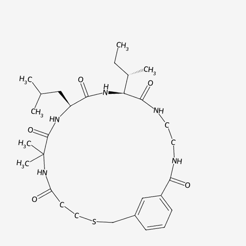 CC[C@H](C)[C@@H]1NC(=O)[C@H](CC(C)C)NC(=O)C(C)(C)NC(=O)CCSCc2cccc(c2)C(=O)NCCNC1=O